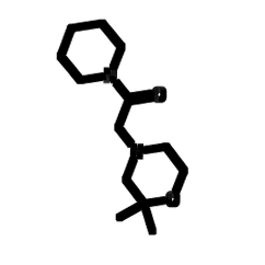 CC1(C)CN(CC(=O)N2CCCCC2)CCO1